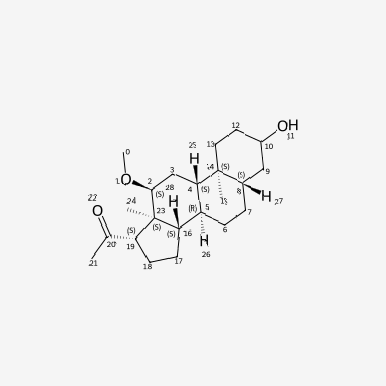 CO[C@H]1C[C@H]2[C@@H](CC[C@H]3CC(O)CC[C@@]32C)[C@@H]2CC[C@H](C(C)=O)[C@@]12C